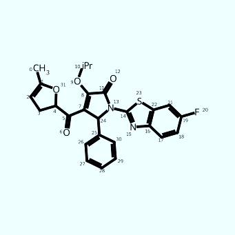 CC1=CCC(C(=O)C2=C(OC(C)C)C(=O)N(c3nc4ccc(F)cc4s3)C2c2ccccc2)O1